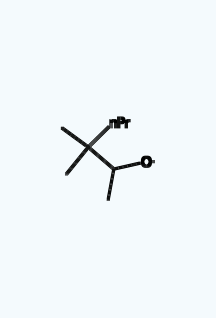 CCCC(C)(C)C(C)[O]